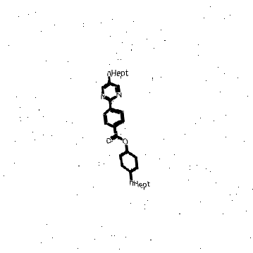 CCCCCCCc1cnc(-c2ccc(C(=O)OC3CCC(CCCCCCC)CC3)cc2)nc1